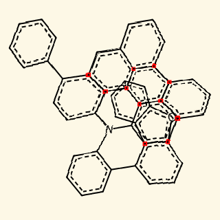 c1ccc(-c2ccc(N(c3ccccc3-c3cccc4cccc(-c5ccccc5)c34)c3ccccc3-c3cccc4oc5ccccc5c34)c(-c3ccccc3)c2)cc1